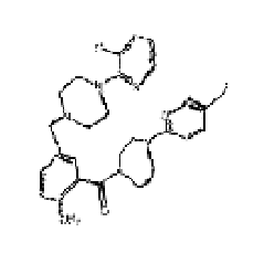 Cc1ccc(CN2CCN(c3ncccc3Cl)CC2)cc1C(=O)N1CCN(c2ccc(F)cn2)CC1